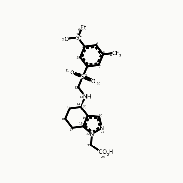 CC[S+]([O-])c1cc(C(F)(F)F)cc(S(=O)(=O)CN[C@@H]2CCCc3c2cnn3CC(=O)O)c1